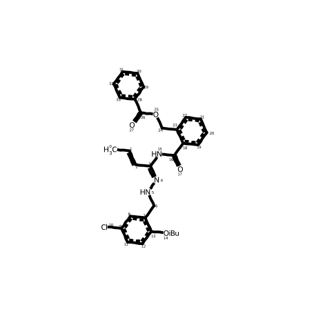 C/C=C/C(=N\NCc1cc(Cl)ccc1OCC(C)C)NC(=O)c1ccccc1COC(=O)c1ccccc1